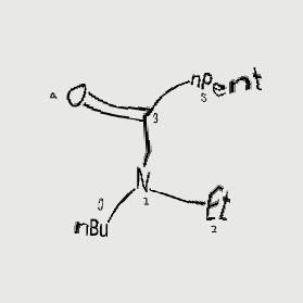 [CH2]CCCN(CC)C(=O)CCCCC